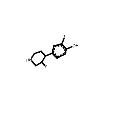 Oc1ccc(C2CCNCC2F)cc1F